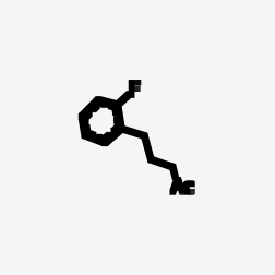 [CH2]C(=O)CCCc1ccccc1F